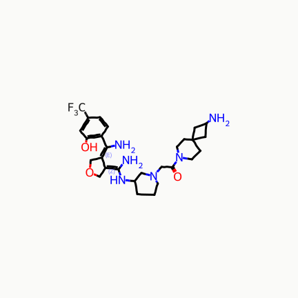 N/C(NC1CCCN(CC(=O)N2CCC3(CC2)CC(N)C3)C1)=C1/COC/C1=C(/N)c1ccc(C(F)(F)F)cc1O